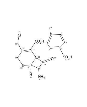 Cc1ccc(S(=O)(=O)O)cc1.NC1C(=O)N2C(C(=O)O)=C(CCl)CS[C@H]12